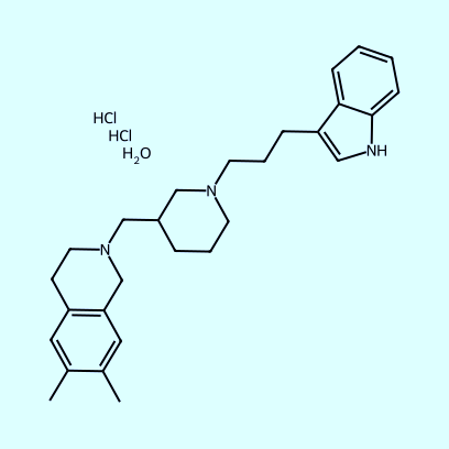 Cc1cc2c(cc1C)CN(CC1CCCN(CCCc3c[nH]c4ccccc34)C1)CC2.Cl.Cl.O